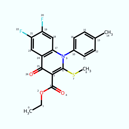 CCOC(=O)c1c(SC)n(-c2ccc(C)cc2)c2cc(F)c(F)cc2c1=O